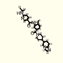 Cc1ccc(C(=O)N2CCC(c3ccc4nccn4c3)CC2)cc1NC(=O)c1ccc(NC(C)C)nc1